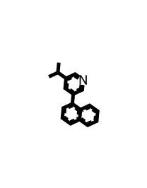 CC(C)c1cncc(-c2cccc3ccccc23)c1